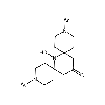 CC(=O)N1CCC2(CC1)CC(=O)CC1(CCN(C(C)=O)CC1)N2O